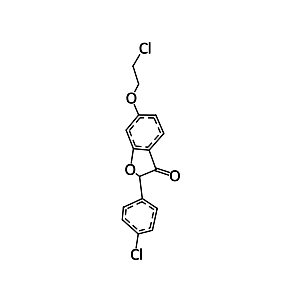 O=C1c2ccc(OCCCl)cc2OC1c1ccc(Cl)cc1